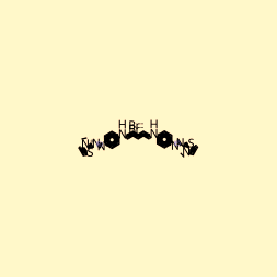 C[n+]1ccsc1/N=N/c1ccc(NCCCCCNc2ccc(/N=N/c3scc[n+]3C)cc2)cc1.[Br-].[Br-]